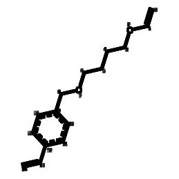 C=COCCCCOCc1ccc(C=C)cc1